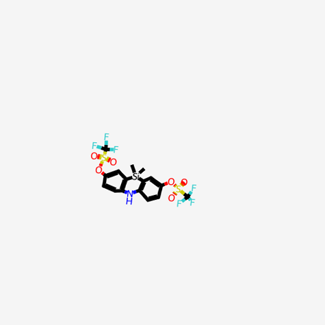 C[Si]1(C)c2cc(OS(=O)(=O)C(F)(F)F)ccc2Nc2ccc(OS(=O)(=O)C(F)(F)F)cc21